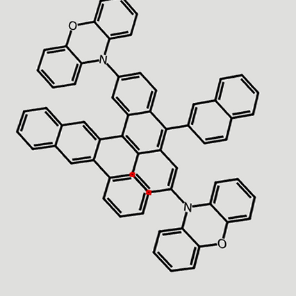 c1ccc(-c2cc3ccccc3cc2-c2c3ccc(N4c5ccccc5Oc5ccccc54)cc3c(-c3ccc4ccccc4c3)c3ccc(N4c5ccccc5Oc5ccccc54)cc23)cc1